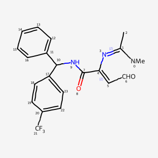 CN/C(C)=N\C(=C/C=O)C(=O)NC(c1ccccc1)c1ccc(C(F)(F)F)cc1